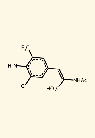 CC(=O)NC(=Cc1cc(Cl)c(N)c(C(F)(F)F)c1)C(=O)O